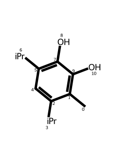 Cc1c(C(C)C)cc(C(C)C)c(O)c1O